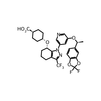 C[C@H](Oc1cncc(-n2nc(C(F)(F)F)c3c2[C@@H](O[C@H]2CC[C@H](C(=O)O)CC2)CCC3)c1)c1ccc2c(c1)OC(F)(F)O2